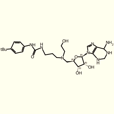 CC(C)(C)c1ccc(NC(=O)NCCCN(CCO)C[C@H]2O[C@@H](n3cnc4c3NCNC4N)[C@H](O)[C@@H]2O)cc1